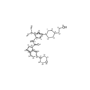 O=C(Nc1cn(C2CCC(CCO)CC2)nc1C(F)F)c1cnn2ccc(N3CCOCC3)nc12